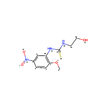 COc1ccc([N+](=O)[O-])cc1NC(=S)NCCO